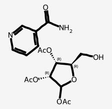 CC(=O)OC1O[C@H](CO)[C@@H](OC(C)=O)[C@H]1OC(C)=O.NC(=O)c1cccnc1